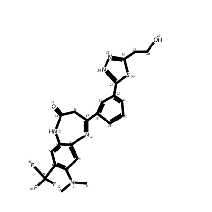 CN(C)c1cc2c(cc1C(F)(F)F)NC(=O)CC(c1cccc(-c3nnc(CCO)s3)c1)=N2